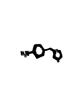 Nc1ccc(C[n+]2ccsc2)cc1